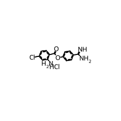 Cl.N=C(N)c1ccc(OC(=O)c2ccc(Cl)cc2N)cc1